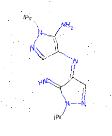 CC(C)N1N=C/C(=N/c2cnn(C(C)C)c2N)C1=N